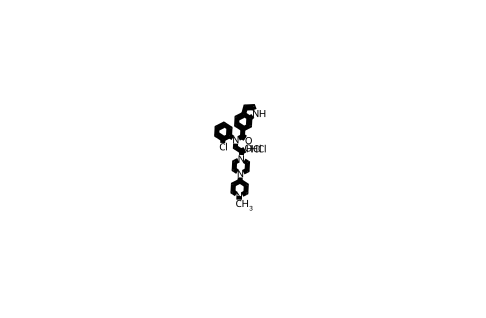 CN1CCC(N2CCN(C(=O)CN(C(=O)c3ccc4cc[nH]c4c3)c3ccccc3Cl)CC2)CC1.Cl.Cl